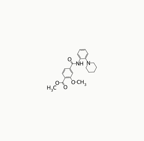 COC(=O)c1ccc(C(=O)Nc2ccccc2N2CCCCC2)cc1OC